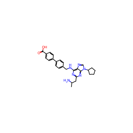 CC(N)Cc1nc(NCc2ccc(-c3ccc(C(=O)O)cc3)cc2)c2ncn(C3CCCC3)c2n1